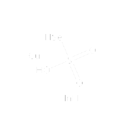 O=S(=O)(O)[SeH].[Cu].[InH3]